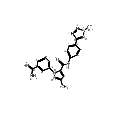 Cc1cc(C(=O)Nc2ccc(-c3nnn(C(F)(F)F)n3)cc2)n(-c2cccc(C(=N)N)c2)n1